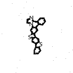 c1ccc2c(c1)sc1cc3c(cc12)sc1cc2c(cc13)c1ccccc1c1nccn21